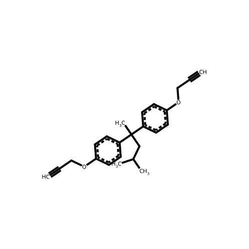 C#CCOc1ccc(C(C)(CC(C)C)c2ccc(OCC#C)cc2)cc1